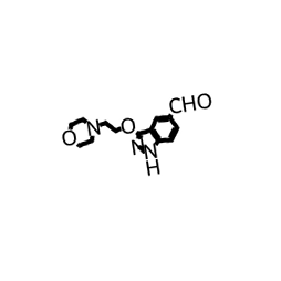 O=Cc1ccc2[nH]nc(OCCN3CCOCC3)c2c1